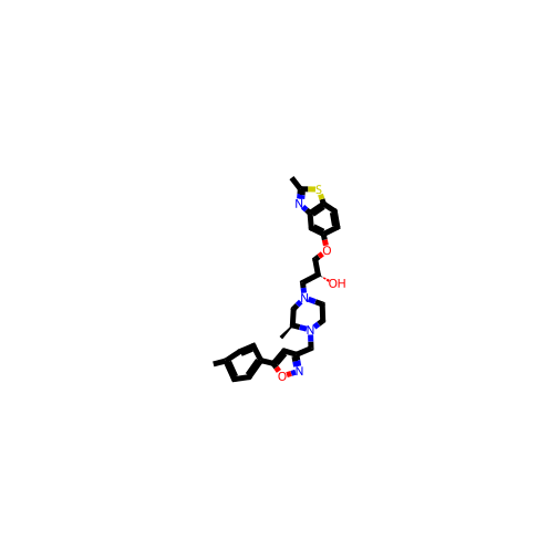 Cc1ccc(-c2cc(CN3CCN(C[C@@H](O)COc4ccc5sc(C)nc5c4)C[C@@H]3C)no2)cc1